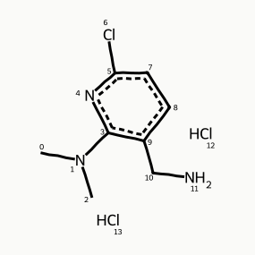 CN(C)c1nc(Cl)ccc1CN.Cl.Cl